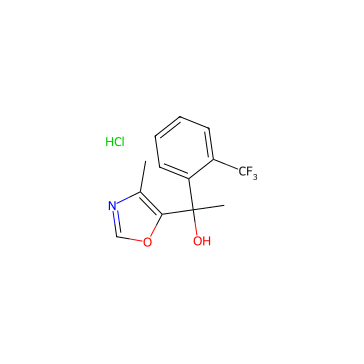 Cc1ncoc1C(C)(O)c1ccccc1C(F)(F)F.Cl